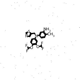 Cc1ccc(N(Cc2cncs2)c2ccc(OC(F)F)c(OC(F)F)c2)cc1N